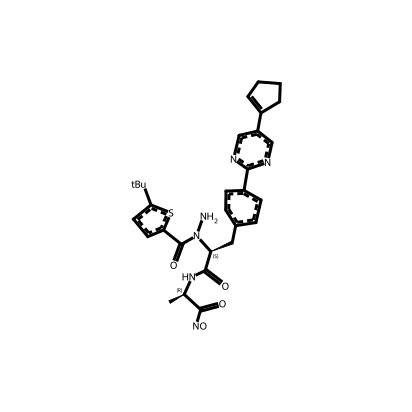 C[C@@H](NC(=O)[C@H](Cc1ccc(-c2ncc(C3=CCCC3)cn2)cc1)N(N)C(=O)c1ccc(C(C)(C)C)s1)C(=O)N=O